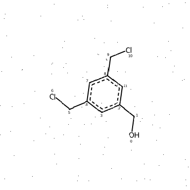 OCc1cc(CCl)cc(CCl)c1